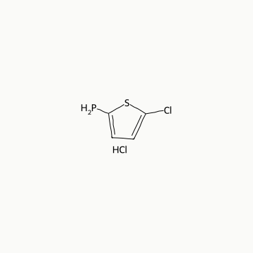 Cl.Pc1ccc(Cl)s1